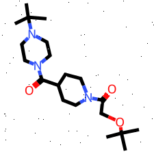 CC(C)(C)OCC(=O)N1CCC(C(=O)N2CCN(C(C)(C)C)CC2)CC1